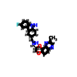 Cc1cnc2ccc3c(c2n1)O[C@@H](CNC[C@@H]1CCc2[nH]c4ccc(F)cc4c2C1)CO3